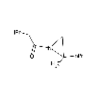 CCCC1(C)CN1C(=O)CC(C)C